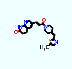 Cc1cnc(C=C2CCN(C(=O)C=Cc3cnc4c(c3)CCC(=O)N4)CC2)s1